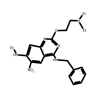 CCNc1cc2nc(OCCN(CC)CC)nc(NCc3ccccc3)c2cc1[N+](=O)[O-]